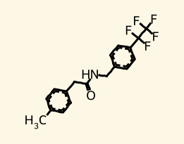 Cc1ccc(CC(=O)NCc2ccc(C(F)(F)C(F)(F)F)cc2)cc1